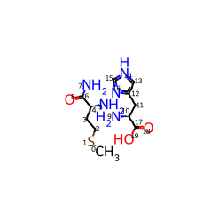 CSCC[C@H](N)C(N)=O.N[C@@H](Cc1c[nH]cn1)C(=O)O